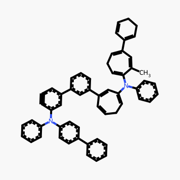 CC1=CC(C2=CCCC=C2)=CCC=C1N(C1=CCC=CC(c2cccc(-c3cc#cc(N(c4ccccc4)c4ccc(-c5ccccc5)cc4)c3)c2)=C1)c1ccccc1